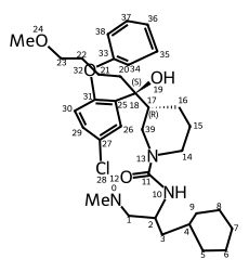 CNCC(CC1CCCCC1)NC(=O)N1CCC[C@@H]([C@@](O)(CCCCOC)c2cc(Cl)ccc2Oc2ccccc2)C1